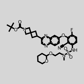 CN(CCOC1CCCCO1)S(=O)(=O)Nc1ccc(F)c(Oc2ccc3ncc(C4CC5(C4)CN(C(=O)OC(C)(C)C)C5)nc3c2)c1C#N